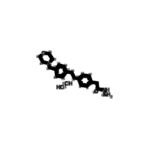 Cl.Cl.NNC(=O)Cc1ccc(CCc2ccc(CN3CCOCC3)cc2)cc1